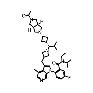 CCN(C(=O)c1cc(F)ccc1-n1cc(CC2CN(C(C(C)C)[C@H]3C[C@@H](N4C[C@H]5CN(C(C)=O)C[C@@H]5C4)C3)C2)c2c(C)cncc21)C(C)C